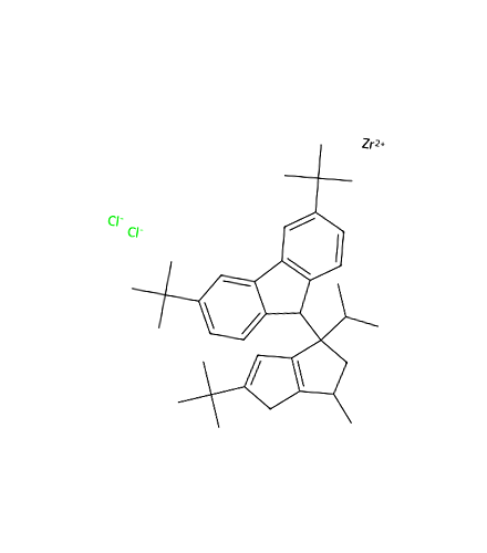 CC1CC(C(C)C)(C2c3ccc(C(C)(C)C)cc3-c3cc(C(C)(C)C)ccc32)C2=C1CC(C(C)(C)C)=C2.[Cl-].[Cl-].[Zr+2]